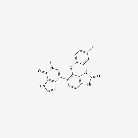 Cn1cc(-c2ccc3[nH]c(=O)[nH]c3c2Oc2ccc(F)cc2)c2cc[nH]c2c1=O